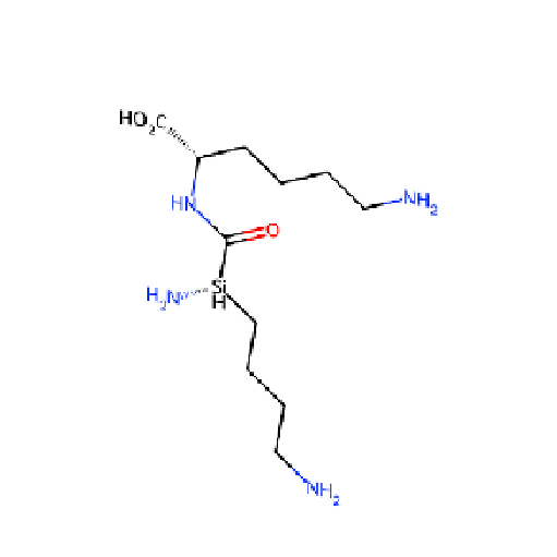 NCCCC[C@H](NC(=O)[Si@@H](N)CCCCN)C(=O)O